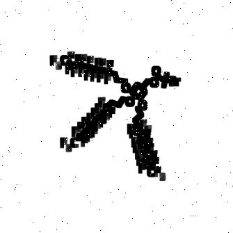 CC(C)(Br)C(=O)OCc1cc(OCCCC(F)(F)C(F)(F)C(F)(F)C(F)(F)C(F)(F)C(F)(F)C(F)(F)C(F)(F)F)c(OCCCC(F)(F)C(F)(F)C(F)(F)C(F)(F)C(F)(F)C(F)(F)C(F)(F)C(F)(F)F)c(OCCCC(F)(F)C(F)(F)C(F)(F)C(F)(F)C(F)(F)C(F)(F)C(F)(F)C(F)(F)F)c1